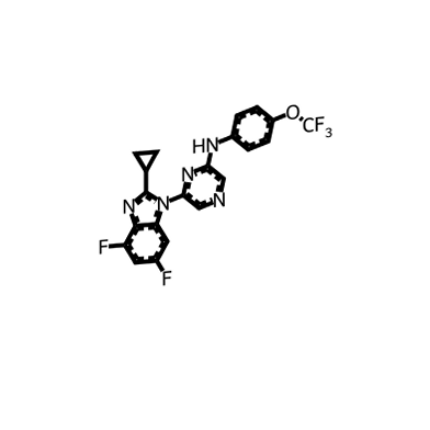 Fc1cc(F)c2nc(C3CC3)n(-c3cncc(Nc4ccc(OC(F)(F)F)cc4)n3)c2c1